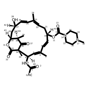 CC(=O)C(=O)N[C@@H]1/C=C(C)/C=C/[C@@H](OC(=O)N2CCN(C)CC2)C/C=C(C)/C=C/[C@@H](O)C[C@H]2OC(=O)[C@]1(C)C(=O)[C@@H]2C